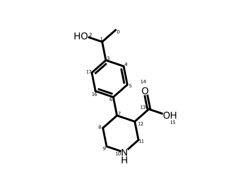 CC(O)c1ccc(C2CCNCC2C(=O)O)cc1